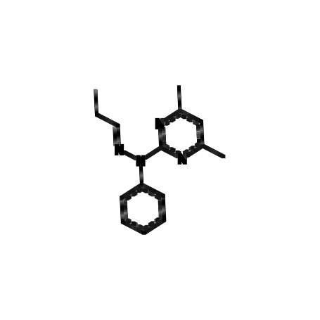 CCC=NN(c1ccccc1)c1nc(C)cc(C)n1